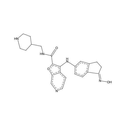 O=C(NCC1CCNCC1)c1oc2cnccc2c1Nc1ccc2c(c1)CCC2=NO